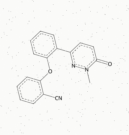 Cn1nc(-c2ccccc2Oc2ccccc2C#N)ccc1=O